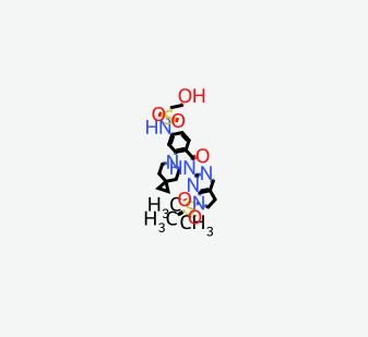 CC(C)(C)S(=O)(=O)N1CCc2cnc(NC(=O)c3ccc(NS(=O)(=O)CCO)cc3N3CCC4(CC3)CC4)nc21